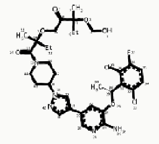 CCC(C)(OCO)C(=O)COC(C)(CC)C(=O)N1CCC(n2cc(-c3cnc(N)c(O[C@H](C)c4c(Cl)ccc(F)c4Cl)c3)cn2)CC1